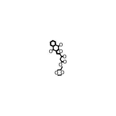 O=C(CC(=O)c1cc2c(o1)C(=O)c1ccccc1C2=O)OCC1COCCO1